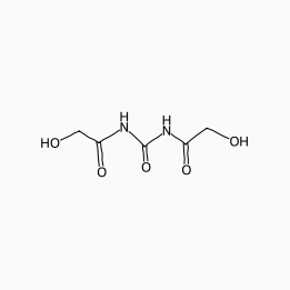 O=C(CO)NC(=O)NC(=O)CO